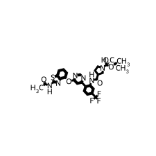 CC(=O)Nc1nc2c(Oc3cc(-c4ccc(C(F)(F)F)cc4NC(=O)C4CCN(C(=O)OC(C)(C)C)C4)ncn3)cccc2s1